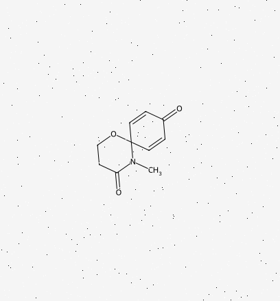 CN1C(=O)CCOC12C=CC(=O)C=C2